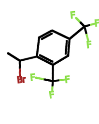 CC(Br)c1ccc(C(F)(F)F)cc1C(F)(F)F